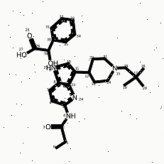 CCC(=O)Nc1ccc2[nH]cc(C3CCN(CC(C)(C)C)CC3)c2n1.O=C(O)C(O)c1ccccc1